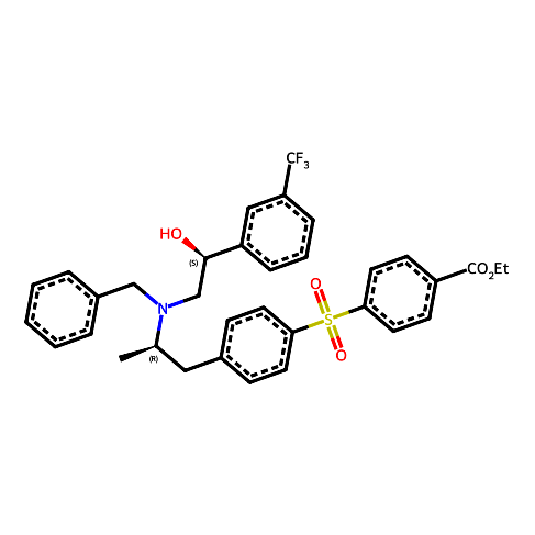 CCOC(=O)c1ccc(S(=O)(=O)c2ccc(C[C@@H](C)N(Cc3ccccc3)C[C@@H](O)c3cccc(C(F)(F)F)c3)cc2)cc1